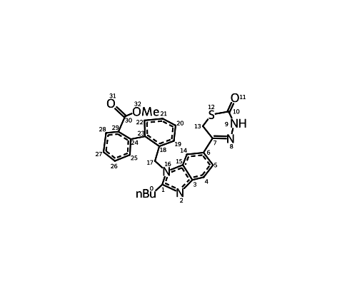 CCCCc1nc2ccc(C3=NNC(=O)SC3)cc2n1Cc1ccccc1-c1ccccc1C(=O)OC